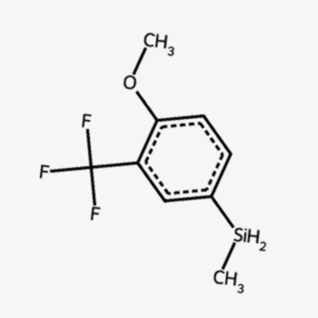 COc1ccc([SiH2]C)cc1C(F)(F)F